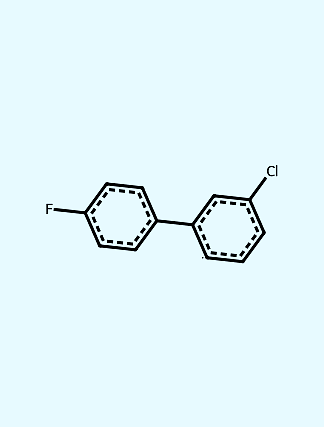 Fc1ccc(-c2[c]ccc(Cl)c2)cc1